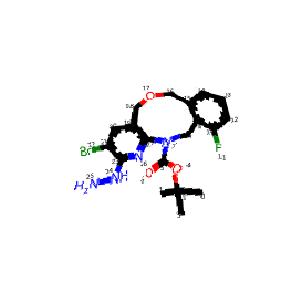 CC(C)(C)OC(=O)N1Cc2c(F)cccc2COCc2cc(Br)c(NN)nc21